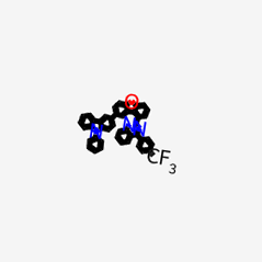 FC(F)(F)c1ccc(-c2nc(-c3cccc4oc5ccc(-c6ccc7c(c6)c6ccccc6n7-c6ccccc6)cc5c34)nc3ccccc23)cc1